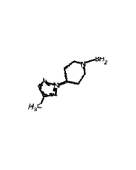 BN1CCC(n2cc(C)cn2)CC1